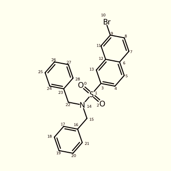 O=S(=O)(c1ccc2ccc(Br)cc2c1)N(Cc1ccccc1)Cc1ccccc1